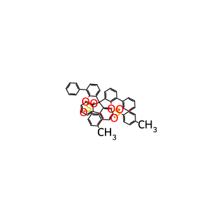 Cc1ccc(S(=O)(=O)Oc2c(-c3ccccc3)cccc2C2(c3cccc(-c4ccccc4)c3OS(=O)(=O)c3ccc(C)cc3)c3ccccc3-c3ccccc32)cc1